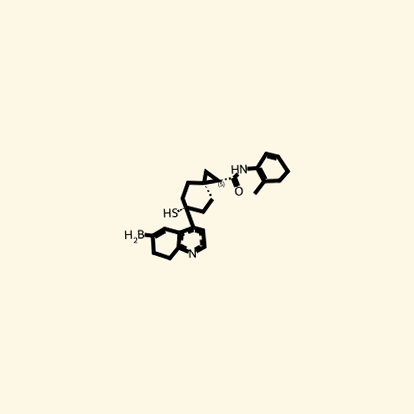 BC1=Cc2c(nccc2[C@]2(S)CC[C@]3(CC2)C[C@@H]3C(=O)NC2=C(C)CCC=C2)CC1